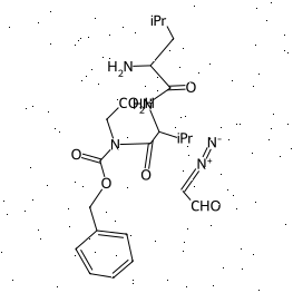 CC(C)CC(N)C(=O)NC(C(=O)N(CC(=O)O)C(=O)OCc1ccccc1)C(C)C.[N-]=[N+]=CC=O